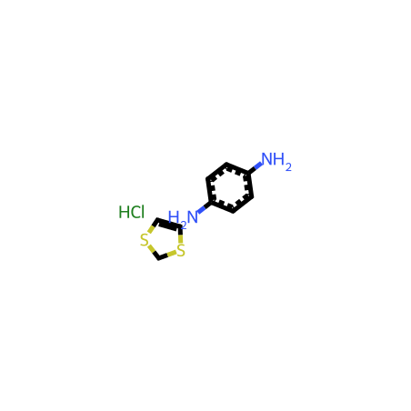 C1=CSCS1.Cl.Nc1ccc(N)cc1